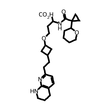 O=C(O)C(CCOC1CC(CCc2ccc3c(n2)NCCC3)C1)NC(=O)C1(C2CCCCO2)CC1